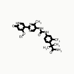 CCOc1cc(=O)[nH]cc1-c1ncc(NC(=O)Nc2ccc(C(C)(C)C(N)=O)c(C(F)(F)F)c2)c(C)n1